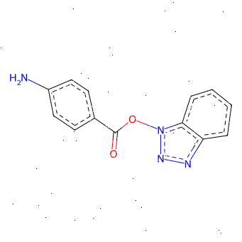 Nc1ccc(C(=O)On2nnc3ccccc32)cc1